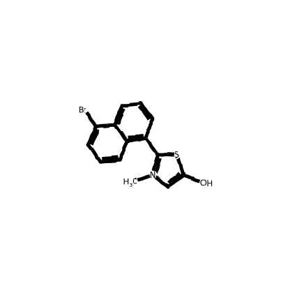 C[n+]1cc(O)sc1-c1cccc2c(Br)cccc12